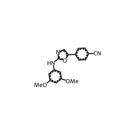 COc1cc(Nc2ncc(-c3ccc(C#N)cc3)o2)cc(OC)c1